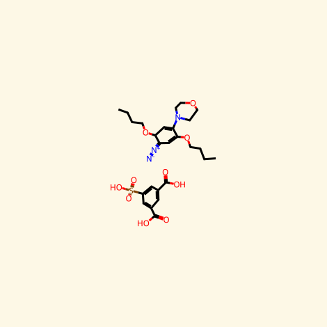 CCCCOC1=CC(=[N+]=[N-])C(OCCCC)C=C1N1CCOCC1.O=C(O)c1cc(C(=O)O)cc(S(=O)(=O)O)c1